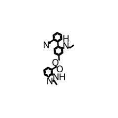 CCNc1cc(COC(=O)c2cccc3nc(C)[nH]c23)ccc1-c1ccccc1C#N